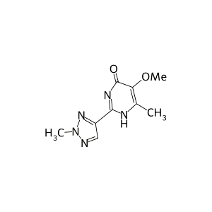 COc1c(C)[nH]c(-c2cnn(C)n2)nc1=O